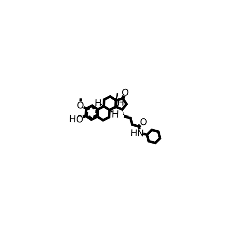 COc1cc2c(cc1O)CC[C@H]1[C@@H]3[C@@H](CCCC(=O)NC4CCCCC4)CC(=O)[C@@]3(C)CC[C@H]21